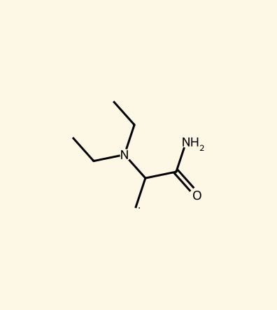 [CH2]C(C(N)=O)N(CC)CC